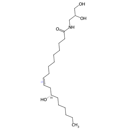 CCCCCC[C@H](O)C/C=C\CCCCCCCC(=O)NCC(O)CO